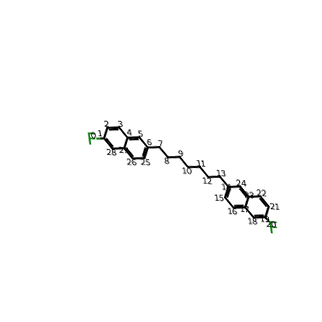 Fc1ccc2cc(CCCCCCCc3ccc4cc(F)ccc4c3)ccc2c1